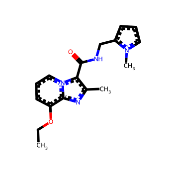 CCOc1cccn2c(C(=O)NCc3cccn3C)c(C)nc12